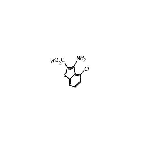 Nc1c(C(=O)O)sc2cccc(Cl)c12